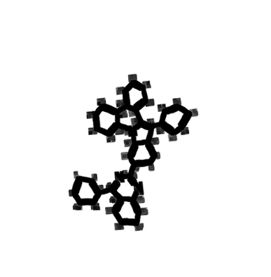 c1ccc(-c2nc(-c3ccc4c(-c5ccccc5)c5c6ccccc6c6ccccc6n5c4c3)nc3ccccc23)cc1